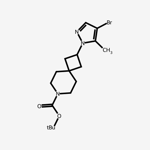 Cc1c(Br)cnn1C1CC2(CCN(C(=O)OC(C)(C)C)CC2)C1